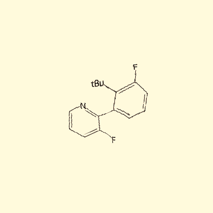 CC(C)(C)c1c(F)cccc1-c1ncccc1F